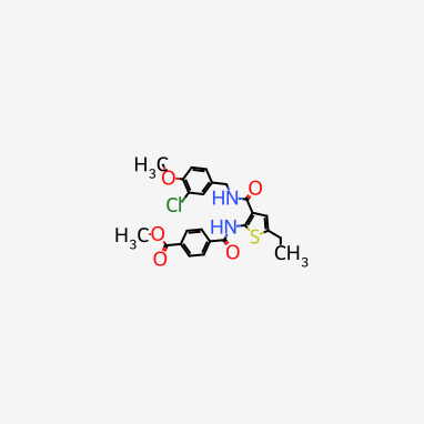 CCc1cc(C(=O)NCc2ccc(OC)c(Cl)c2)c(NC(=O)c2ccc(C(=O)OC)cc2)s1